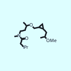 COC(C)CC1CC1COC(C)CCN(C)C(=O)CC(C)C